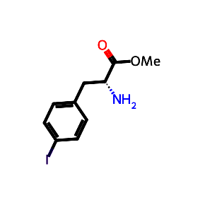 COC(=O)[C@H](N)Cc1ccc(I)cc1